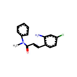 CN(C(=O)/C=C/c1ccc(Cl)cc1N)c1ccccc1